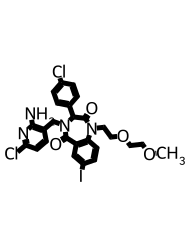 COCCOCCN1C(=O)C(c2ccc(Cl)cc2)N(Cc2ccc(Cl)nc2N)C(=O)c2cc(I)ccc21